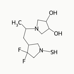 CC(CC1CN(S)CC1(F)F)N1CC(O)C(O)C1